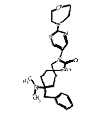 CN(C)C1(Cc2ccccc2)CCC2(CC1)CN(c1cnc(N3CCOCC3)nc1)C(=O)N2